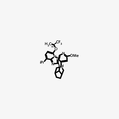 COc1cc(N2CC3CCC(C2)C3Nc2nc3c(C(C)C)ccc(O[C@@H](C)C(F)(F)F)n3n2)ccn1